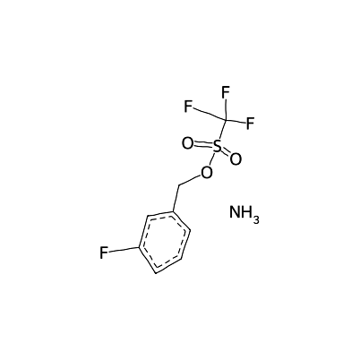 N.O=S(=O)(OCc1cccc(F)c1)C(F)(F)F